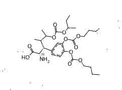 CCCCOC(=O)Oc1ccc(C(C(C)C(C)OC(=O)OC(C)CC)[C@H](N)C(=O)O)cc1OC(=O)OCCCC